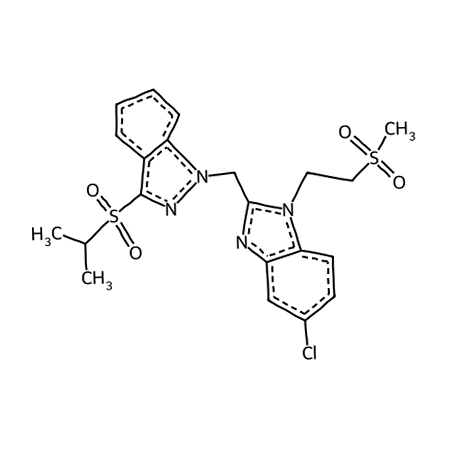 CC(C)S(=O)(=O)c1nn(Cc2nc3cc(Cl)ccc3n2CCS(C)(=O)=O)c2ccccc12